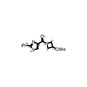 COC1CN(C(=O)c2csc(C(C)C)n2)C1